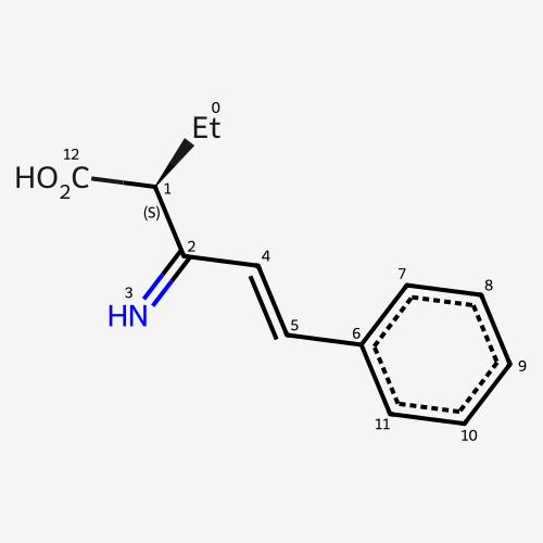 CC[C@@H](C(=N)C=Cc1ccccc1)C(=O)O